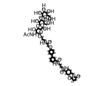 CC(=O)NC1C(O)[C@H](O[C@@H]2OC(CO)[C@H](O)C(O[C@H]3OC(CO)[C@H](O)C(O)[C@H]3O)C2O)C(CO)O[C@H]1OCCCNC(=O)COc1ccc(-c2cccc(C(=O)NCCNC(=O)C3CCC(CN4C(=O)C=CC4=O)CC3)c2)cc1